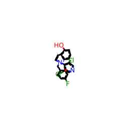 Oc1cccc2c1[C]=C[N+]2(Cc1ccc(F)cc1)c1c(Cl)cncc1Cl